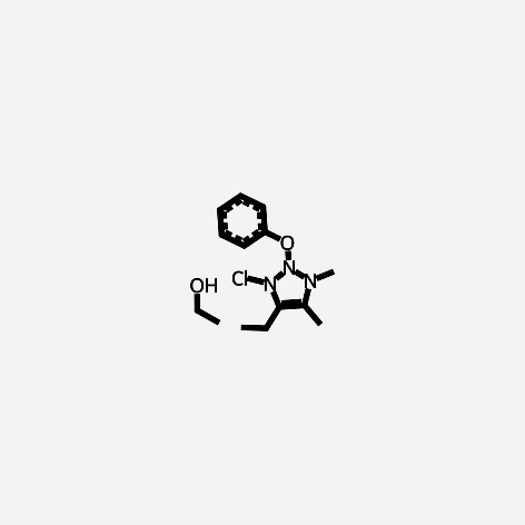 CCC1=C(C)N(C)N(Oc2ccccc2)N1Cl.CCO